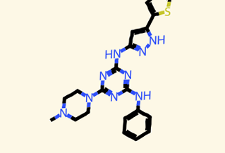 CN1CCN(c2nc(Nc3ccccc3)nc(Nc3cc(-c4cccs4)[nH]n3)n2)CC1